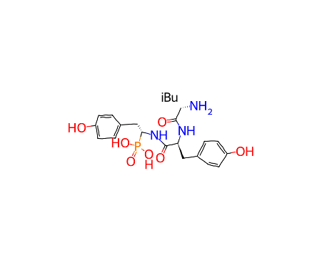 CC[C@H](C)[C@H](N)C(=O)N[C@@H](Cc1ccc(O)cc1)C(=O)N[C@@H](Cc1ccc(O)cc1)P(=O)(O)O